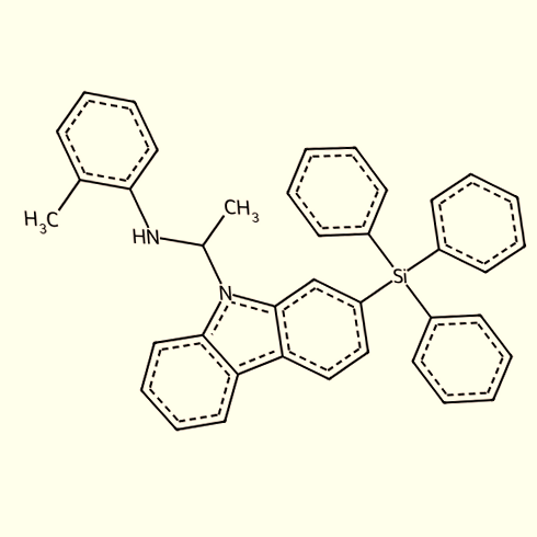 Cc1ccccc1NC(C)n1c2ccccc2c2ccc([Si](c3ccccc3)(c3ccccc3)c3ccccc3)cc21